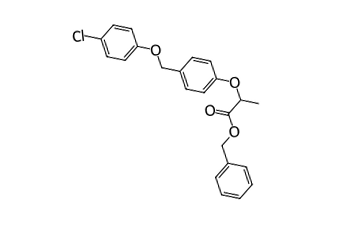 CC(Oc1ccc(COc2ccc(Cl)cc2)cc1)C(=O)OCc1ccccc1